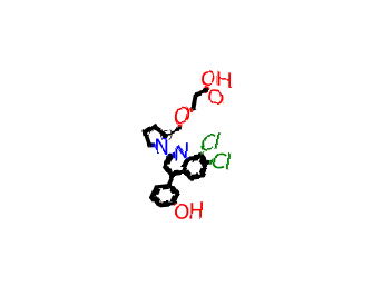 O=C(O)CCOC[C@@H]1CCCN1c1cc(-c2cccc(O)c2)c2ccc(Cl)c(Cl)c2n1